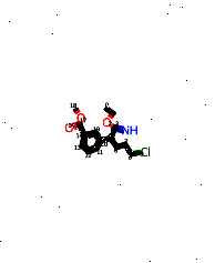 CCOC(=N)C(CCCCl)c1cccc(C(=O)OC)c1